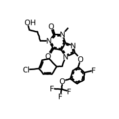 Cn1c(=O)n(CCCO)c(=O)c2c1nc(Oc1cc(OC(F)(F)F)ccc1F)n2CC1C=CC(Cl)=CC1